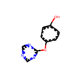 Oc1ccc(Oc2ncncn2)cc1